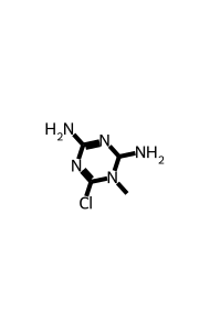 CN1C(Cl)=NC(N)=NC1N